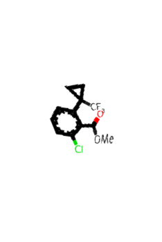 COC(=O)c1c(Cl)cccc1C1(C(F)(F)F)CC1